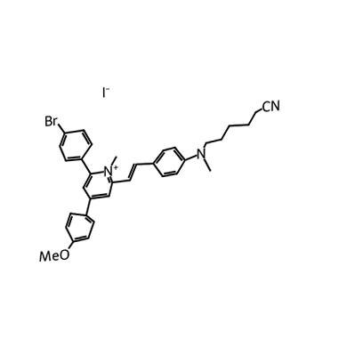 COc1ccc(-c2cc(/C=C/c3ccc(N(C)CCCCCC#N)cc3)[n+](C)c(-c3ccc(Br)cc3)c2)cc1.[I-]